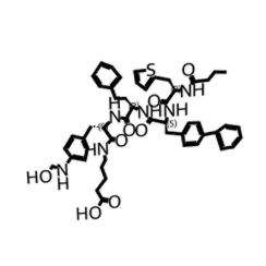 CCCC(=O)N[C@H](Cc1cccs1)C(=O)N[C@@H](Cc1ccc(-c2ccccc2)cc1)C(=O)N[C@H](CCc1ccccc1)C(=O)N[C@@H](Cc1ccc(NCO)cc1)C(=O)NCCCCC(=O)O